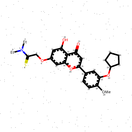 CCN(CC)C(=S)COc1cc(O)c2c(=O)cc(-c3ccc(OC)c(OC4CCCC4)c3)oc2c1